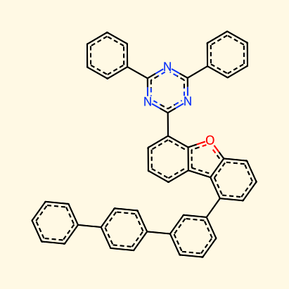 c1ccc(-c2ccc(-c3cccc(-c4cccc5oc6c(-c7nc(-c8ccccc8)nc(-c8ccccc8)n7)cccc6c45)c3)cc2)cc1